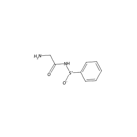 NCC(=O)N[S+]([O-])c1ccccc1